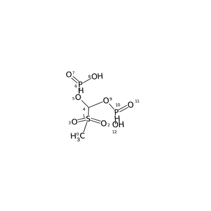 CS(=O)(=O)C(O[PH](=O)O)O[PH](=O)O